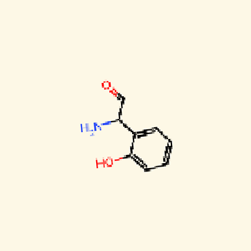 NC(C=O)c1ccccc1O